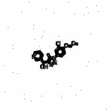 COCOc1ccc(-n2nnc(C(O)c3cccnc3)c2C)cc1Cl